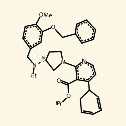 CCN(Cc1ccc(OC)c(OCc2ccccc2)c1)[C@@H]1CCN(c2nccc(C3C=CC=CC3)c2C(=O)OC(C)C)C1